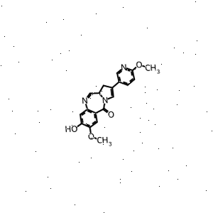 COc1ccc(C2=CN3C(=O)c4cc(OC)c(O)cc4N=CC3C2)cn1